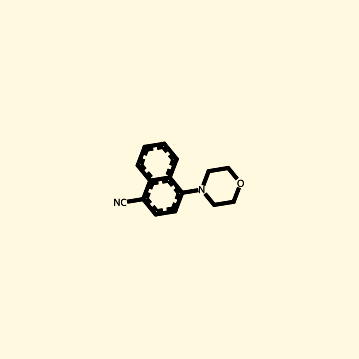 N#Cc1ccc(N2CCOCC2)c2ccccc12